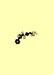 C[C@H](O)C[C@H]1C[C@H](NC(=O)c2cc(-c3ccccc3)on2)C1